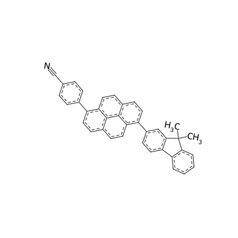 CC1(C)c2ccccc2-c2ccc(-c3ccc4ccc5c(-c6ccc(C#N)cc6)ccc6ccc3c4c65)cc21